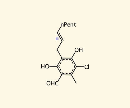 [CH2]CCCC/C=C/Cc1c(O)c(Cl)c(C)c(C=O)c1O